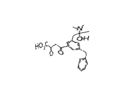 CN(C)C(C)(O)Cc1cc(Cc2ccccc2)cc(C(=O)CC(=O)C(=O)O)c1